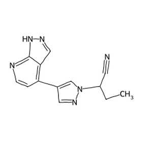 CCC(C#N)n1cc(-c2ccnc3[nH]ncc23)cn1